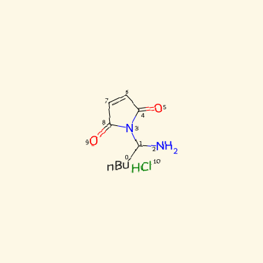 CCCCC(N)N1C(=O)C=CC1=O.Cl